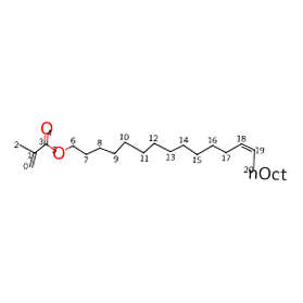 C=C(C)C(=O)OCCCCCCCCCCCC/C=C\CCCCCCCC